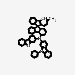 C=C/C=C\C1=C(C)c2ccccc2C12c1ccccc1C1C(N(c3ccc4c(c3)oc3ccccc34)c3ccc4c5ccccc5n(-c5ccccc5)c4c3)=CC=CC12